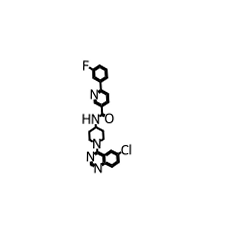 O=C(NC1CCN(c2ncnc3ccc(Cl)cc23)CC1)c1ccc(-c2cccc(F)c2)nc1